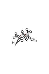 Cc1ccc(N(c2ccc3c(c2)c2ccccc2n3-c2ccccc2)c2cc3c(c4ccccc24)-c2c(cc(N(c4ccc(C)cc4)c4ccc5c6ccccc6n(-c6ccccc6)c5c4)c4ccccc24)C32c3ccccc3N(c3ccccc3)c3ccccc32)cc1